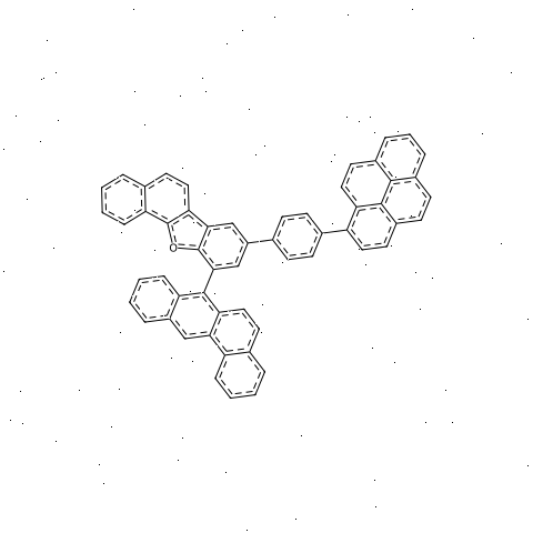 c1ccc2c(-c3cc(-c4ccc(-c5ccc6ccc7cccc8ccc5c6c78)cc4)cc4c3oc3c5ccccc5ccc43)c3ccc4ccccc4c3cc2c1